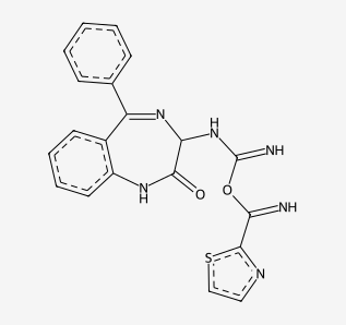 N=C(NC1N=C(c2ccccc2)c2ccccc2NC1=O)OC(=N)c1nccs1